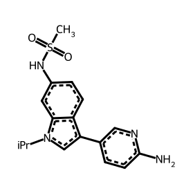 CC(C)n1cc(-c2ccc(N)nc2)c2ccc(NS(C)(=O)=O)cc21